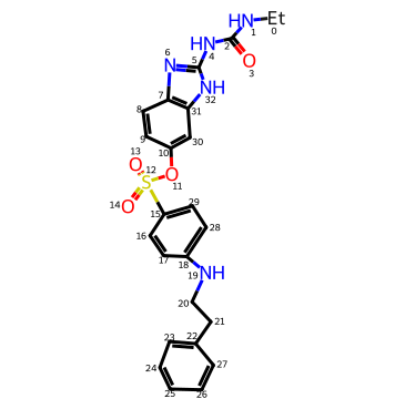 CCNC(=O)Nc1nc2ccc(OS(=O)(=O)c3ccc(NCCc4ccccc4)cc3)cc2[nH]1